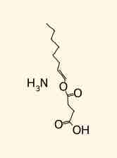 CCCCCCC=COC(=O)CCC(=O)O.N